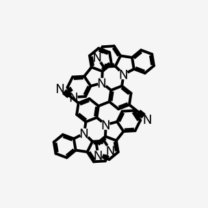 N#Cc1cc(-c2cc(C#N)cc(-n3c4ccccc4c4ccncc43)c2-n2c3ccccc3c3ccncc32)c(-n2c3ccccc3c3ccncc32)c(-n2c3ccccc3c3ccncc32)c1